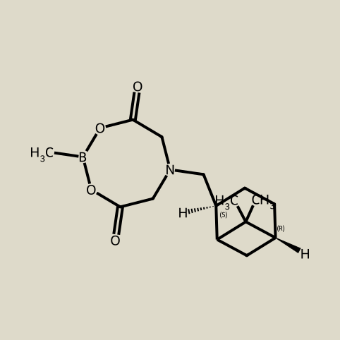 CB1OC(=O)CN(C[C@H]2CC[C@@H]3CC2C3(C)C)CC(=O)O1